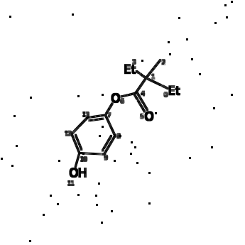 CCC(C)(CC)C(=O)Oc1ccc(O)cc1